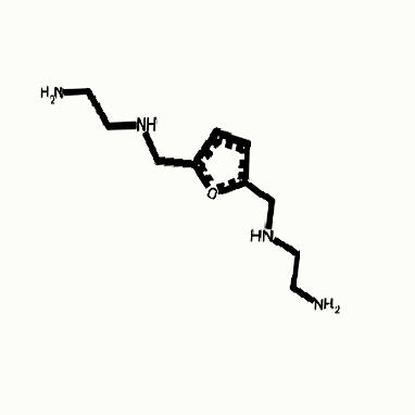 NCCNCc1ccc(CNCCN)o1